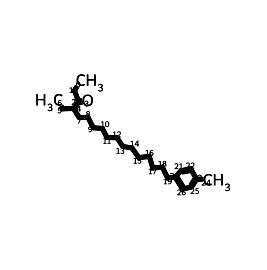 CCC(=O)C(CC)CCCCCCCCCCCCCc1ccc(C)cc1